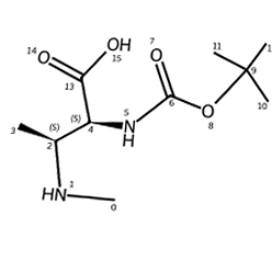 CN[C@@H](C)[C@H](NC(=O)OC(C)(C)C)C(=O)O